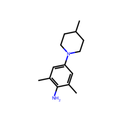 Cc1cc(N2CCC(C)CC2)cc(C)c1N